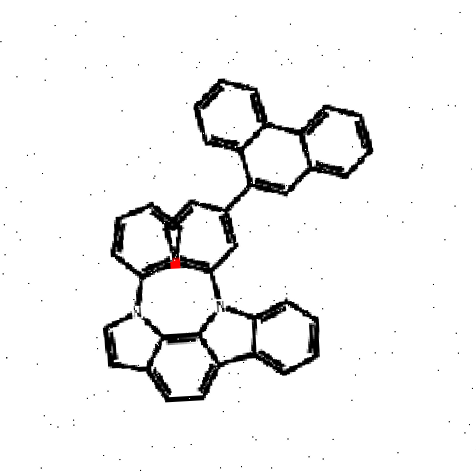 c1ccc(-n2ccc3ccc4c5ccccc5n(-c5cccc(-c6cc7ccccc7c7ccccc67)c5)c4c32)cc1